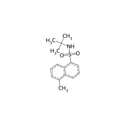 Cc1cccc2c(S(=O)(=O)NC(C)(C)C)cccc12